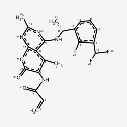 C=CC(=O)Nc1c(C)c2c(N[C@H](C)c3cccc(C(F)F)c3F)nc(C)nc2oc1=O